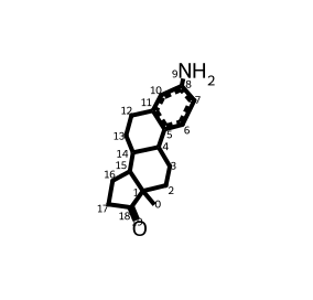 CC12CCC3c4ccc(N)cc4CCC3C1CCC2=O